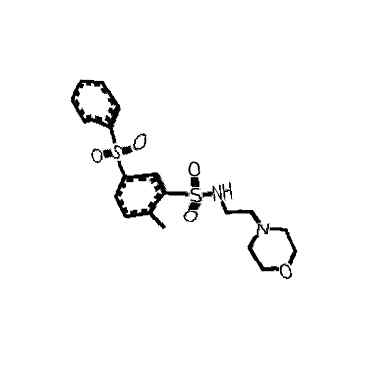 Cc1ccc(S(=O)(=O)c2ccccc2)cc1S(=O)(=O)NCCN1CCOCC1